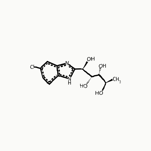 C[C@@H](O)[C@@H](O)[C@H](O)[C@H](O)c1nc2cc(Cl)ccc2[nH]1